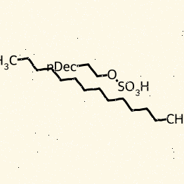 CCCCCCCCCCCCCC.CCCCCCCCCCCCOS(=O)(=O)O